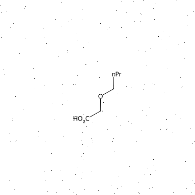 CCCCO[CH]C(=O)O